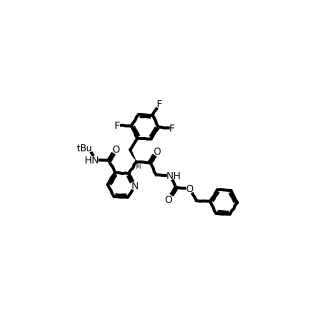 CC(C)(C)NC(=O)c1cccnc1[C@@H](Cc1cc(F)c(F)cc1F)C(=O)CNC(=O)OCc1ccccc1